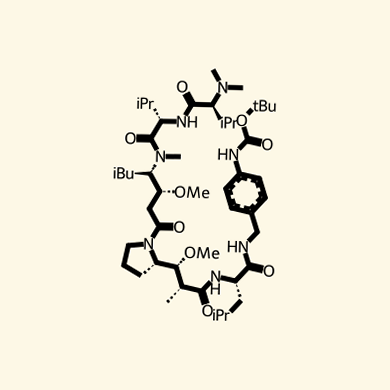 CC[C@H](C)[C@@H]([C@@H](CC(=O)N1CCC[C@H]1[C@H](OC)[C@@H](C)C(=O)N[C@@H](CC(C)C)C(=O)NCc1ccc(NC(=O)OC(C)(C)C)cc1)OC)N(C)C(=O)[C@@H](NC(=O)[C@H](C(C)C)N(C)C)C(C)C